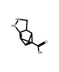 O=C(O)C1=CC2=C3NNCC3C1C2